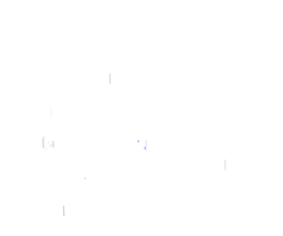 C[C@@H](c1ccccc1)N1C[C@H]2C[C@H](O)[C@@H]1[C@@H]2Br